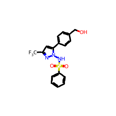 O=S(=O)(Nn1nc(C(F)(F)F)cc1-c1ccc(CO)cc1)c1ccccc1